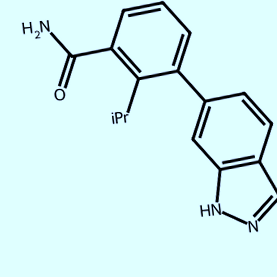 CC(C)c1c(C(N)=O)cccc1-c1ccc2cn[nH]c2c1